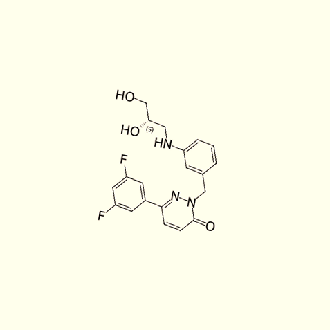 O=c1ccc(-c2cc(F)cc(F)c2)nn1Cc1cccc(NC[C@H](O)CO)c1